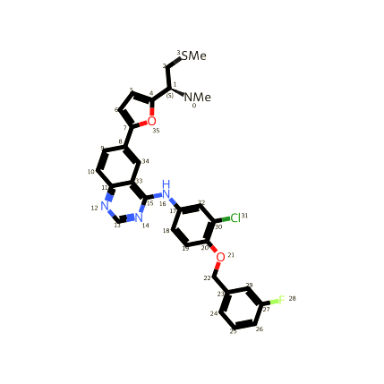 CN[C@H](CSC)c1ccc(-c2ccc3ncnc(Nc4ccc(OCc5cccc(F)c5)c(Cl)c4)c3c2)o1